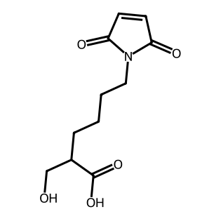 O=C(O)C(CO)CCCCN1C(=O)C=CC1=O